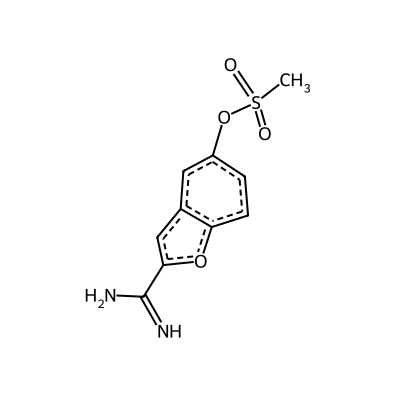 CS(=O)(=O)Oc1ccc2oc(C(=N)N)cc2c1